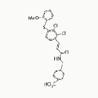 COc1ccccc1Sc1ccc(C=CC(=O)NCc2ccc(C(=O)O)cc2)c(Cl)c1Cl